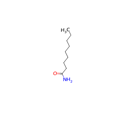 CCCCCCCCC(N)=O